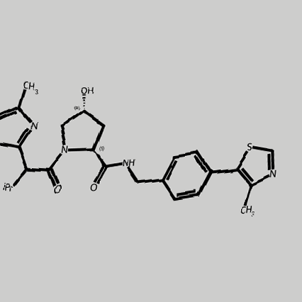 Cc1nsc(C(C(=O)N2C[C@H](O)C[C@H]2C(=O)NCc2ccc(-c3scnc3C)cc2)C(C)C)n1